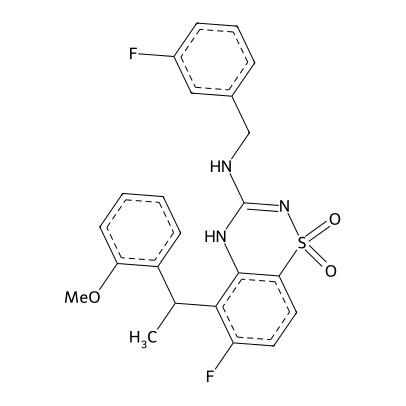 COc1ccccc1C(C)c1c(F)ccc2c1NC(NCc1cccc(F)c1)=NS2(=O)=O